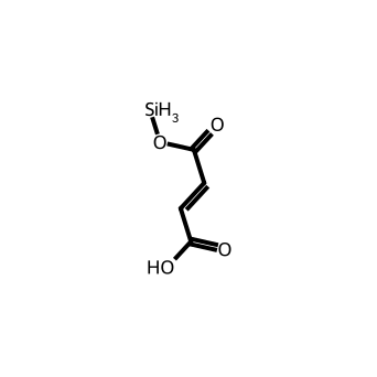 O=C(O)/C=C/C(=O)O[SiH3]